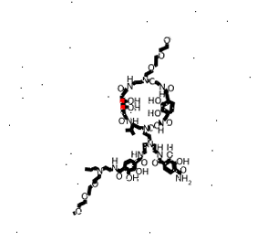 CCCN(CCNC(=O)c1ccc(C(=O)NCCN(CCNC(=O)c2ccc(C(N)=O)c(O)c2O)CCN2CCNC(=O)c3ccc(c(O)c3O)C(=O)NCCN(CCOCCOCCOC)CCNC(=O)c3ccc(c(O)c3O)C(=O)NC(C(C)C)C2)c(O)c1O)CCOCCOCCOC